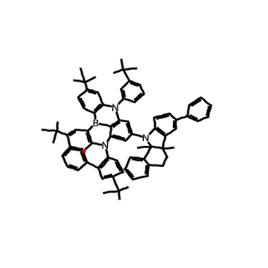 CC(C)(C)c1cccc(N2c3cc(C(C)(C)C)ccc3B3c4cc(C(C)(C)C)ccc4N(c4ccc(C(C)(C)C)cc4-c4ccccc4)c4cc(N5c6ccc(-c7ccccc7)cc6C6(C)CCc7ccccc7C56C)cc2c43)c1